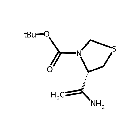 C=C(N)[C@H]1CSCN1C(=O)OC(C)(C)C